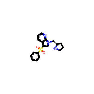 O=S(=O)(c1ccccc1)c1cn(C[C@H]2CCCN2)c2ncccc12